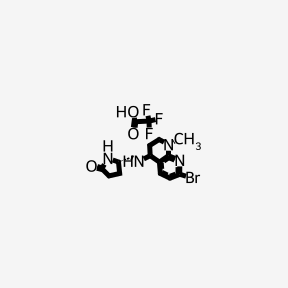 CN1CCC(NC[C@@H]2CCC(=O)N2)c2ccc(Br)nc21.O=C(O)C(F)(F)F